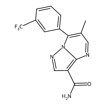 Cc1cnc2c(C(N)=O)cnn2c1-c1cccc(C(F)(F)F)c1